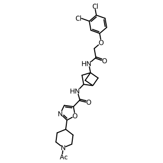 CC(=O)N1CCC(c2ncc(C(=O)NC3CC4(NC(=O)COc5ccc(Cl)c(Cl)c5)CC3C4)o2)CC1